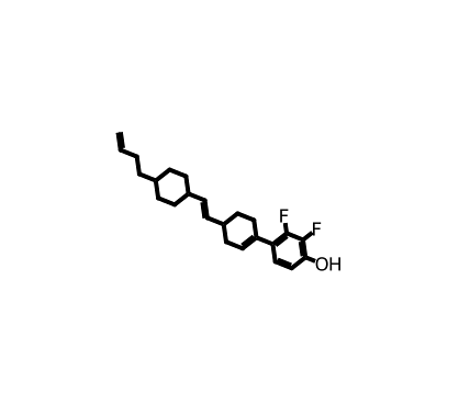 C=CCCC1CCC(/C=C/C2CC=C(c3ccc(O)c(F)c3F)CC2)CC1